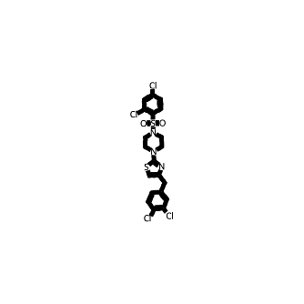 O=S(=O)(c1ccc(Cl)cc1Cl)N1CCN(c2nc(Cc3ccc(Cl)c(Cl)c3)cs2)CC1